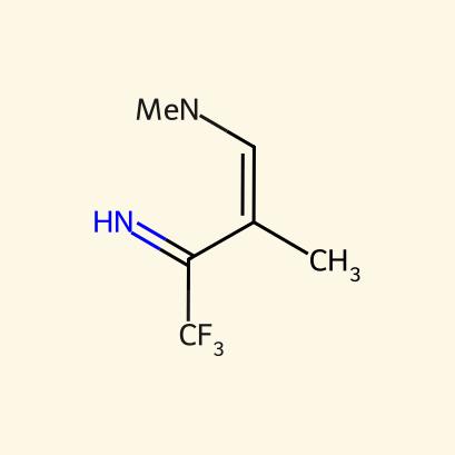 CN/C=C(/C)C(=N)C(F)(F)F